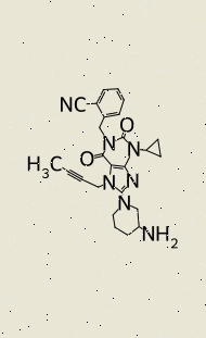 CC#CCn1c(N2CCCC(N)C2)nc2c1c(=O)n(Cc1ccccc1C#N)c(=O)n2C1CC1